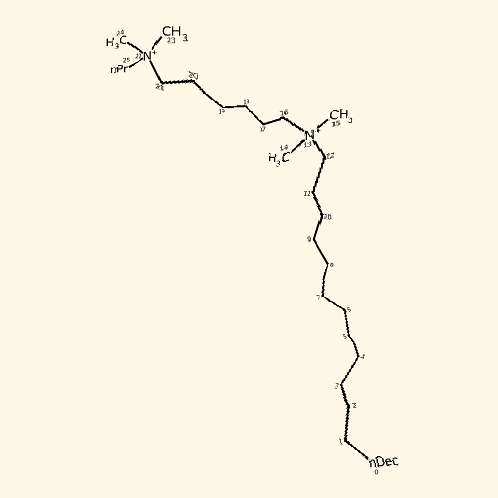 CCCCCCCCCCCCCCCCCCCCCC[N+](C)(C)CCCCCC[N+](C)(C)CCC